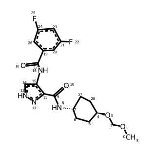 COCO[C@H]1CC[C@H](NC(=O)c2n[nH]cc2NC(=O)c2cc(F)cc(F)c2)CC1